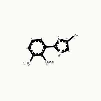 COc1c(C=O)cccc1-c1nc(C(C)C)co1